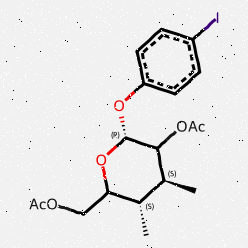 CC(=O)OCC1O[C@H](Oc2ccc(I)cc2)C(OC(C)=O)[C@@H](C)[C@@H]1C